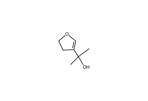 CC(C)(O)C1=COCC1